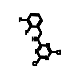 Fc1cccc(CNc2nc(Cl)nc(Cl)n2)c1F